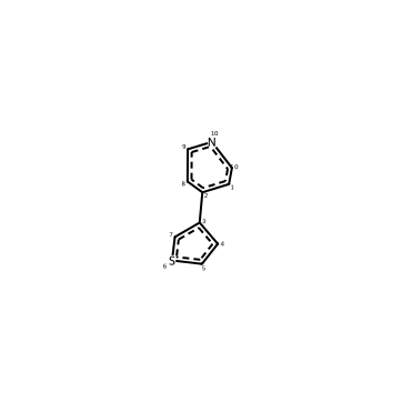 [c]1cc(-c2ccsc2)ccn1